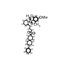 COc1cc(C)c(S(=O)(=O)N2CCCCC2CCCS(=O)(=O)N2CCC3(CCN(c4ccncc4)CC3)CC2)c(C)c1